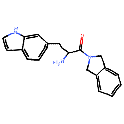 NC(Cc1ccc2cc[nH]c2c1)C(=O)N1Cc2ccccc2C1